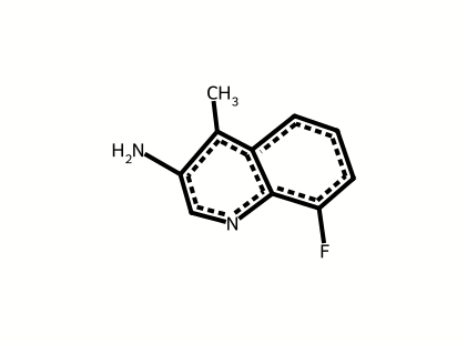 Cc1c(N)cnc2c(F)cccc12